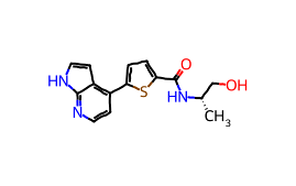 C[C@@H](CO)NC(=O)c1ccc(-c2ccnc3[nH]ccc23)s1